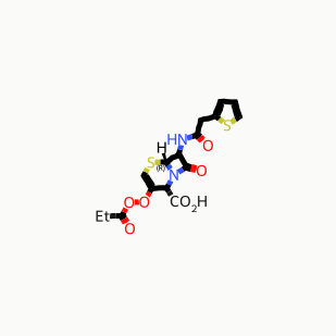 CCC(=O)OOC1=CS[C@@H]2C(NC(=O)Cc3cccs3)C(=O)N2C1C(=O)O